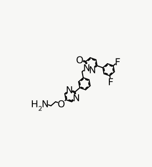 NCCOc1cnc(-c2cccc(Cn3nc(-c4cc(F)cc(F)c4)ccc3=O)c2)nc1